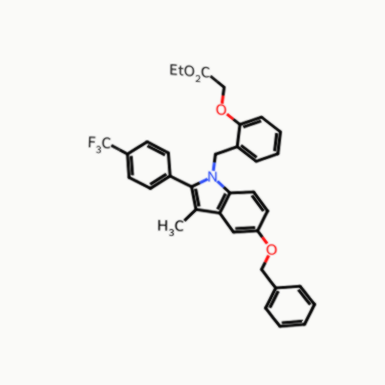 CCOC(=O)COc1ccccc1Cn1c(-c2ccc(C(F)(F)F)cc2)c(C)c2cc(OCc3ccccc3)ccc21